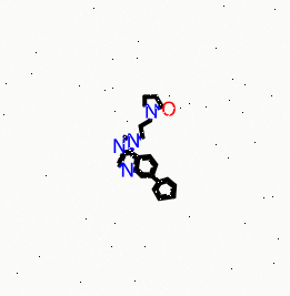 O=C1CCCN1CCCn1cnc2cnc3cc(-c4ccccc4)ccc3c21